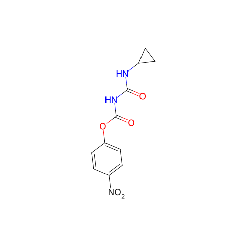 O=C(NC(=O)Oc1ccc([N+](=O)[O-])cc1)NC1CC1